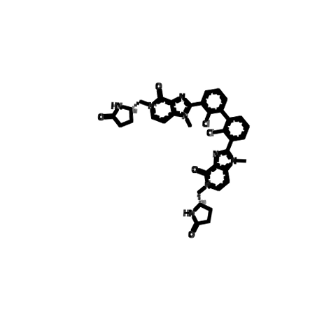 Cn1c(-c2cccc(-c3cccc(-c4nc5c(=O)n(C[C@@H]6CCC(=O)N6)ccc5n4C)c3Cl)c2Cl)nc2c(=O)n(C[C@@H]3CCC(=O)N3)ccc21